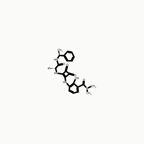 CC(C)[C@@H](Nc1c(Nc2cccc(C(=O)N(C)C)c2O)c(=O)c1=O)C(=O)N[C@@H](C)c1ccccc1